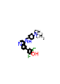 CN(C)C1CCC(CNc2[c]cnc3ccc(-c4cc(F)c(O)c(Cl)c4)cc23)CC1